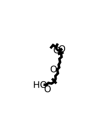 CCC(C)OC(=O)C(C)(C)CCCCCC(=O)CCCC(C)(C)CCC(=O)O